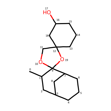 CC1CC2CCCC(C2)C12OCC1(CCCC(O)C1)O2